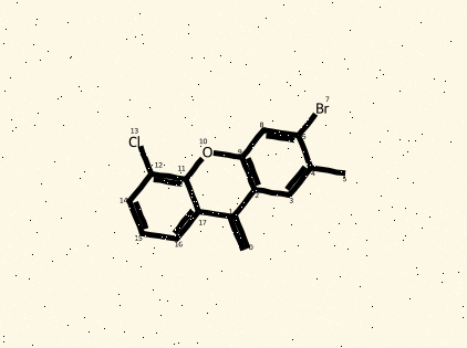 C=C1c2cc(C)c(Br)cc2Oc2c(Cl)cccc21